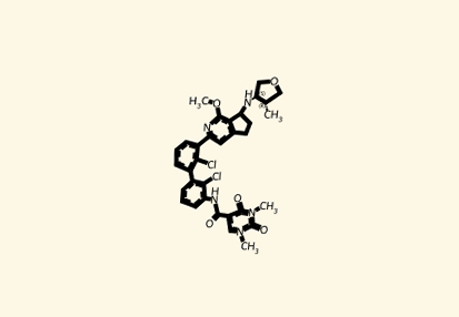 COc1nc(-c2cccc(-c3cccc(NC(=O)c4cn(C)c(=O)n(C)c4=O)c3Cl)c2Cl)cc2c1C(N[C@@H]1COC[C@@H]1C)CC2